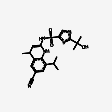 CC(C)c1cc(C#N)cc2c1NC(NS(=O)(=O)c1cnc(C(C)(C)O)s1)=CC2C